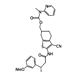 COc1cccc(C(C)CC(=O)Nc2sc3c(c2C#N)CCC(COC(=O)N(C)c2ccccn2)C3)c1